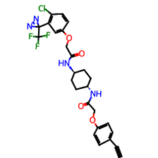 C#Cc1ccc(OCC(=O)N[C@H]2CC[C@H](NC(=O)COc3ccc(Cl)c(C4(C(F)(F)F)N=N4)c3)CC2)cc1